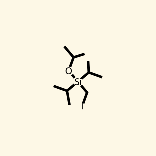 CC(C)O[Si](CI)(C(C)C)C(C)C